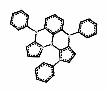 c1ccc(N2c3cccc4c3B(c3c2ccn3-c2ccccc2)n2cccc2N4c2ccccc2)cc1